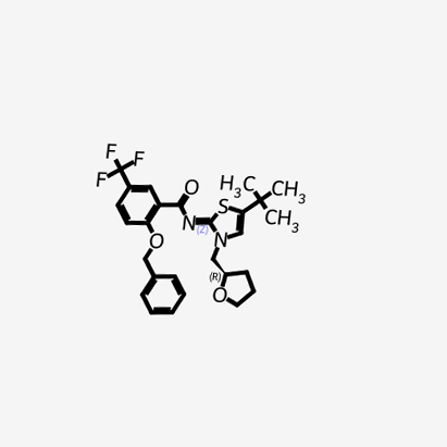 CC(C)(C)c1cn(C[C@H]2CCCO2)/c(=N/C(=O)c2cc(C(F)(F)F)ccc2OCc2ccccc2)s1